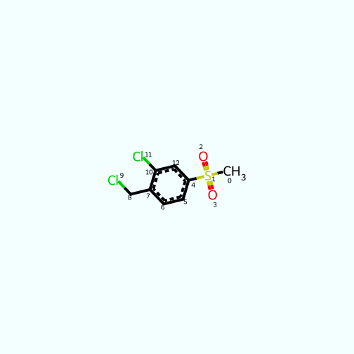 CS(=O)(=O)c1ccc(CCl)c(Cl)c1